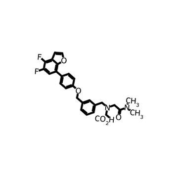 CN(C)C(=O)CN(CC(=O)O)Cc1cccc(COc2ccc(-c3cc(F)c(F)c4ccoc34)cc2)c1